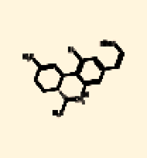 C=C(C)[C@@H]1CCC(C)=C[C@H]1c1c(O)cc(/C=C\CCCCC)cc1CC